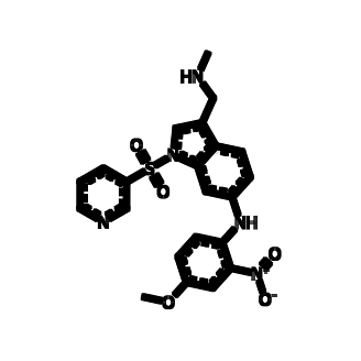 CNCc1cn(S(=O)(=O)c2cccnc2)c2cc(Nc3ccc(OC)cc3[N+](=O)[O-])ccc12